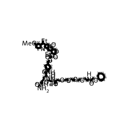 CCc1c2c(nc3ccc(OC)cc13)-c1cc3c(c(=O)n1C2)COC(=O)[C@@]3(CC)OC(=O)OCc1ccc(NC(=O)[C@H](CCCNC(N)=O)NC(=O)[C@@H](NC(=O)CCOCCOCCOCCOCCNC(=O)COC2C#CCCCCC2)C(C)C)cc1